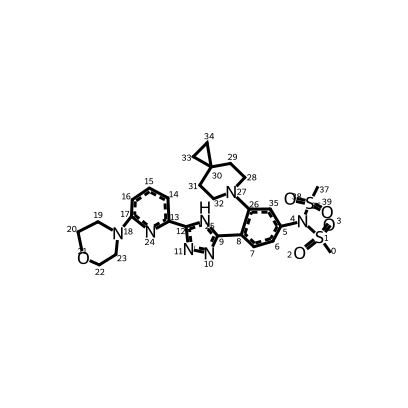 CS(=O)(=O)N(c1ccc(-c2nnc(-c3cccc(N4CCOCC4)n3)[nH]2)c(N2CCC3(CC2)CC3)c1)S(C)(=O)=O